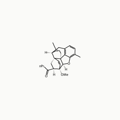 CCCC(=O)[C@H]1C[C@@]23C=C[C@@]1(OC)[C@@H]1Oc4c(C)ccc5c4[C@@]12CCN(C)[C@@H]3C5